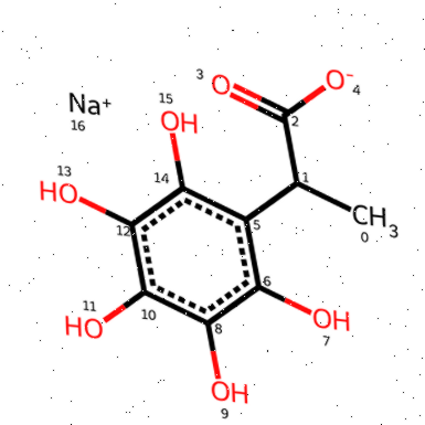 CC(C(=O)[O-])c1c(O)c(O)c(O)c(O)c1O.[Na+]